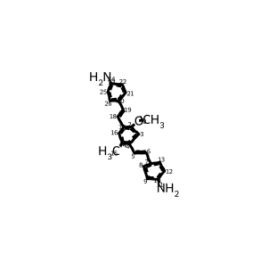 COc1cc(/C=C/c2ccc(N)cc2)c(C)cc1/C=C/c1ccc(N)cc1